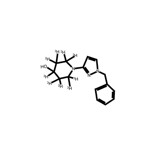 [2H]C1([2H])N(c2ccn(Cc3ccccc3)n2)C([2H])([2H])C([2H])([2H])C([2H])(O)C1([2H])[2H]